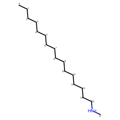 CCCCCCCCCCCCCCC[CH]NC